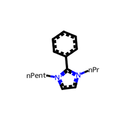 CCCCC[n+]1ccn(CCC)c1-c1ccccc1